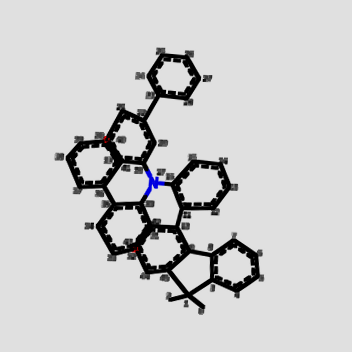 CC1(C)c2ccccc2-c2c(-c3ccccc3N(c3cccc(-c4ccccc4)c3)c3ccccc3-c3ccccc3)cccc21